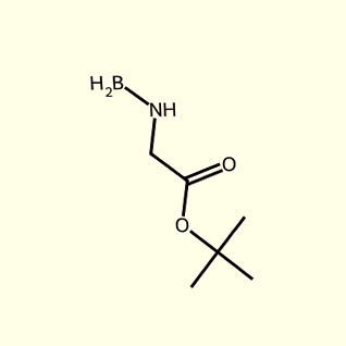 BNCC(=O)OC(C)(C)C